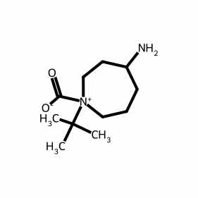 CC(C)(C)[N+]1(C(=O)[O-])CCCC(N)CC1